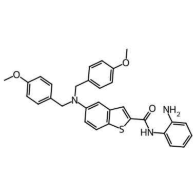 COc1ccc(CN(Cc2ccc(OC)cc2)c2ccc3sc(C(=O)Nc4ccccc4N)cc3c2)cc1